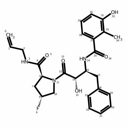 C=CCNC(=O)[C@@H]1C[C@@H](F)CN1C(=O)[C@@H](O)[C@H](Cc1ccccc1)NC(=O)c1cccc(O)c1C